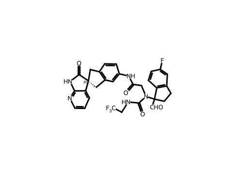 O=CC1(N(CC(=O)Nc2ccc3c(c2)C[C@@]2(C3)C(=O)Nc3ncccc32)C(=O)NCC(F)(F)F)CCc2cc(F)ccc21